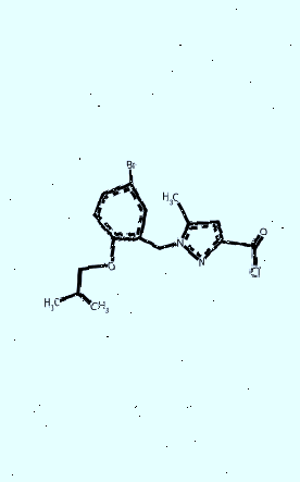 Cc1cc(C(=O)Cl)nn1Cc1cc(Br)ccc1OCC(C)C